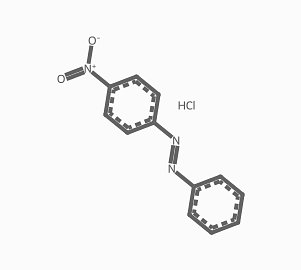 Cl.O=[N+]([O-])c1ccc(N=Nc2ccccc2)cc1